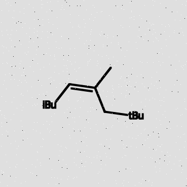 CCC(C)C=C(C)CC(C)(C)C